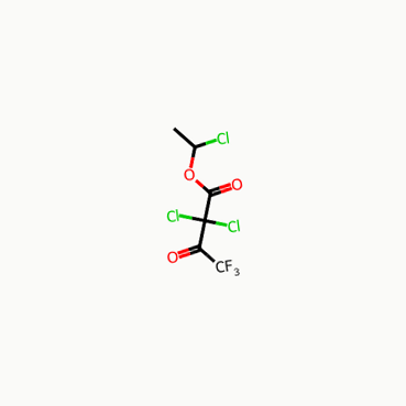 CC(Cl)OC(=O)C(Cl)(Cl)C(=O)C(F)(F)F